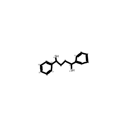 SC(CCC(S)c1ccccc1)c1ccccc1